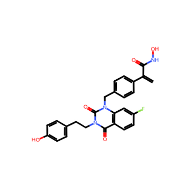 C=C(C(=O)NO)c1ccc(Cn2c(=O)n(CCc3ccc(O)cc3)c(=O)c3ccc(F)cc32)cc1